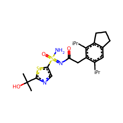 CC(C)c1cc2c(c(C(C)C)c1CC(=O)N=S(N)(=O)c1cnc(C(C)(C)O)s1)CCC2